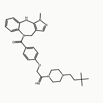 Cn1ncc2c1Nc1ccccc1N(C(=O)c1ccc(OCC(=N)N3CCN(CCC(C)(C)C)CC3)cc1)C2